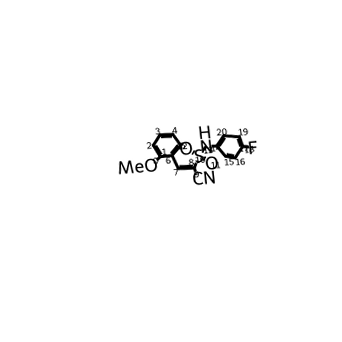 COc1ccccc1C=C(C#N)S(=O)(=O)Nc1ccc(F)cc1